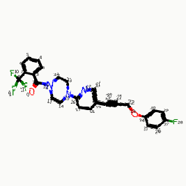 O=C(c1ccccc1C(F)(F)F)N1CCN(c2ccc(C#CCOc3ccc(F)cc3)cn2)CC1